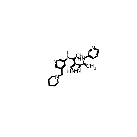 C=C(Nc1cncc(CN2CCCCC2)c1)c1c[nH]nc1C(=C)Nc1cccnc1